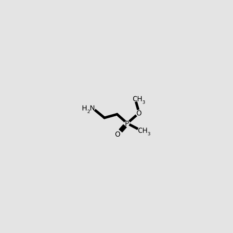 COP(C)(=O)CCN